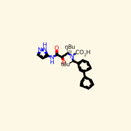 CCCC[C@@H](C(=O)C(=O)Nc1ccn[nH]1)N(C(=O)O)[C@@H](c1cccc(-c2ccccc2)c1)C(C)(C)C